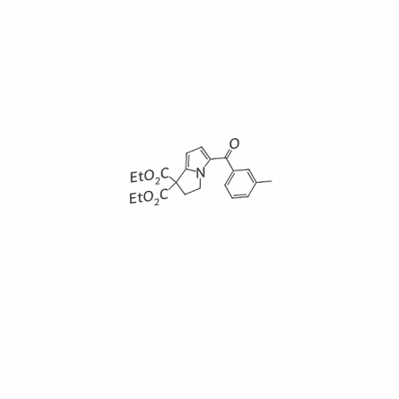 CCOC(=O)C1(C(=O)OCC)CCn2c(C(=O)c3cccc(C)c3)ccc21